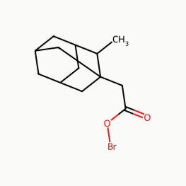 CC1C2CC3CC(C2)CC1(CC(=O)OBr)C3